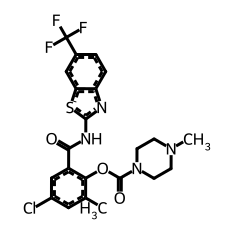 Cc1cc(Cl)cc(C(=O)Nc2nc3ccc(C(F)(F)F)cc3s2)c1OC(=O)N1CCN(C)CC1